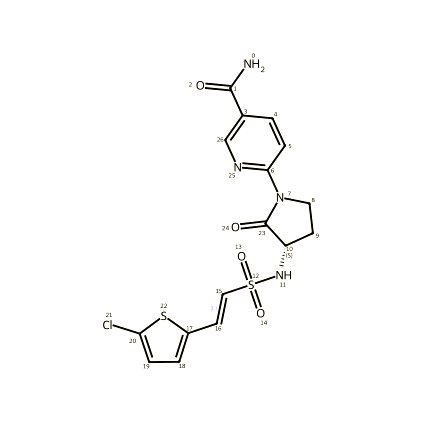 NC(=O)c1ccc(N2CC[C@H](NS(=O)(=O)/C=C/c3ccc(Cl)s3)C2=O)nc1